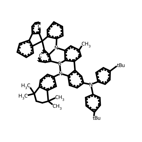 Cc1cc2c3c(c1)N1c4ccccc4C4(c5ccccc5-c5ccccc54)c4cccc(c41)B3N(c1ccc3c(c1)C(C)(C)CCC3(C)C)c1ccc(N(c3ccc(C(C)(C)C)cc3)c3ccc(C(C)(C)C)cc3)cc1-2